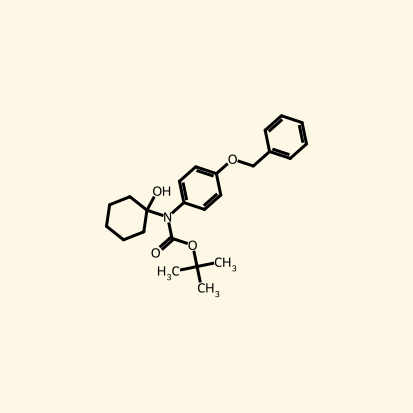 CC(C)(C)OC(=O)N(c1ccc(OCc2ccccc2)cc1)C1(O)CCCCC1